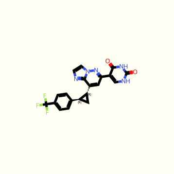 O=c1[nH]cc(-c2cc([C@@H]3C[C@H]3c3ccc(C(F)(F)F)cc3)c3nccn3n2)c(=O)[nH]1